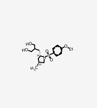 CCOc1ccc(S(=O)(=O)N2C[C@@H](C)C[C@@H]2CC(CO)CO)cc1